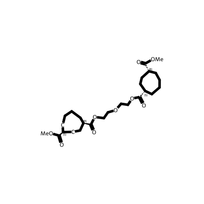 COC(=O)[C@@H]1CCCC[C@H](C(=O)OCCOCCOC(=O)[C@@H]2CCCC[C@H](C(=O)OC)CC2)CC1